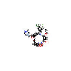 C[C@@H]1[C@@H](C)S(=O)(=O)NC(O)c2ccc3c(c2)N(Cc2ccc(Cl)c(F)c2CCCCO3)C[C@@H]2CC[C@H]2[C@@H](OCCN2CCN(C)CC2)C2=C[C@H]1C2